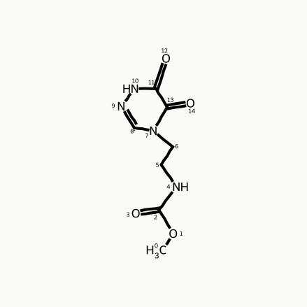 COC(=O)NCCn1[c]n[nH]c(=O)c1=O